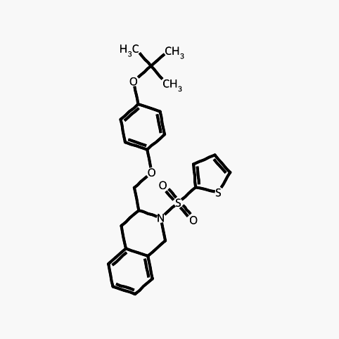 CC(C)(C)Oc1ccc(OCC2Cc3ccccc3CN2S(=O)(=O)c2cccs2)cc1